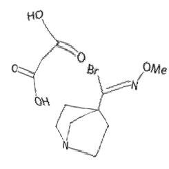 CON=C(Br)C12CCN(CC1)C2.O=C(O)C(=O)O